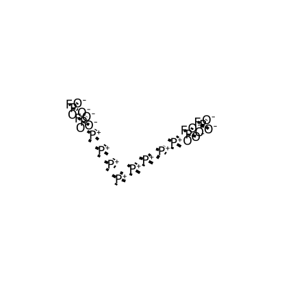 C[P+](C)(C)C.C[P+](C)(C)C.C[P+](C)(C)C.C[P+](C)(C)C.C[P+](C)(C)C.C[P+](C)(C)C.C[P+](C)(C)C.C[P+](C)(C)C.O=P([O-])([O-])F.O=P([O-])([O-])F.O=P([O-])([O-])F.O=P([O-])([O-])F